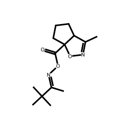 CC1=NOC2(C(=O)O/N=C(\C)C(C)(C)C)CCCC12